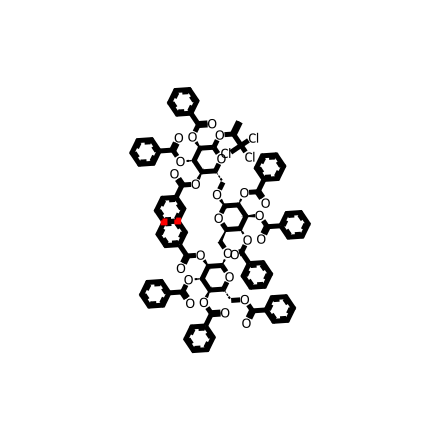 C=C(OC1O[C@H](CO[C@@H]2O[C@H](CO[C@@H]3O[C@H](COC(=O)c4ccccc4)[C@@H](OC(=O)c4ccccc4)[C@H](OC(=O)c4ccccc4)[C@H]3OC(=O)c3ccccc3)[C@@H](OC(=O)c3ccccc3)[C@H](OC(=O)c3ccccc3)[C@H]2OC(=O)c2ccccc2)[C@@H](OC(=O)c2ccccc2)[C@H](OC(=O)c2ccccc2)[C@H]1OC(=O)c1ccccc1)C(Cl)(Cl)Cl